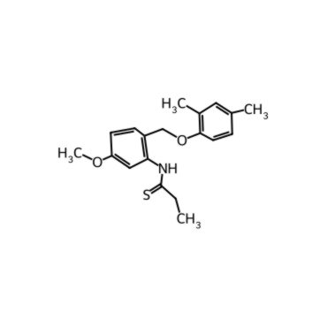 CCC(=S)Nc1cc(OC)ccc1COc1ccc(C)cc1C